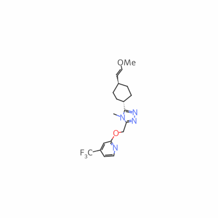 COC=C[C@H]1CC[C@H](c2nnc(COc3cc(C(F)(F)F)ccn3)n2C)CC1